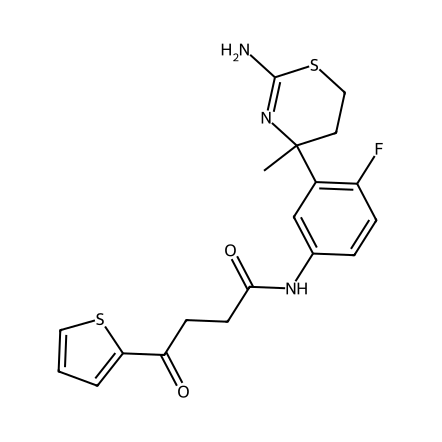 CC1(c2cc(NC(=O)CCC(=O)c3cccs3)ccc2F)CCSC(N)=N1